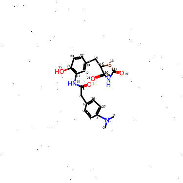 CN(C)c1ccc(CC(=O)Nc2cc(CC3SC(=O)NC3=O)ccc2O)cc1